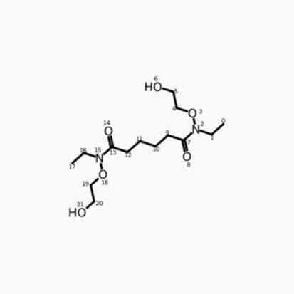 CCN(OCCO)C(=O)CCCCC(=O)N(CC)OCCO